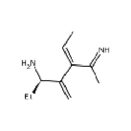 C=C(/C(=C/C)C(C)=N)[C@H](N)CC